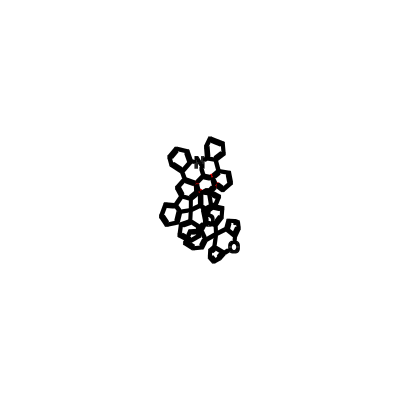 c1ccc(-c2ccccc2N(c2ccc(-c3ccc4c(c3)-c3ccccc3C43c4ccccc4Oc4ccccc43)cc2)c2ccccc2-c2ccc3c(c2)-c2ccccc2C32c3ccccc3Oc3ccccc32)cc1